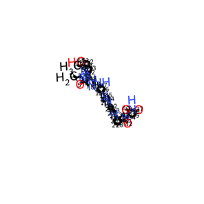 C=CCn1c(=O)c2cnc(Nc3ccc(N4CCN(C5CC6(C5)CN(c5cccc7c5CN(C5CCC(=O)NC5=O)C7=O)C6)CC4)cc3)nc2n1-c1ccc2c(n1)[C@@](O)(CC)CC2